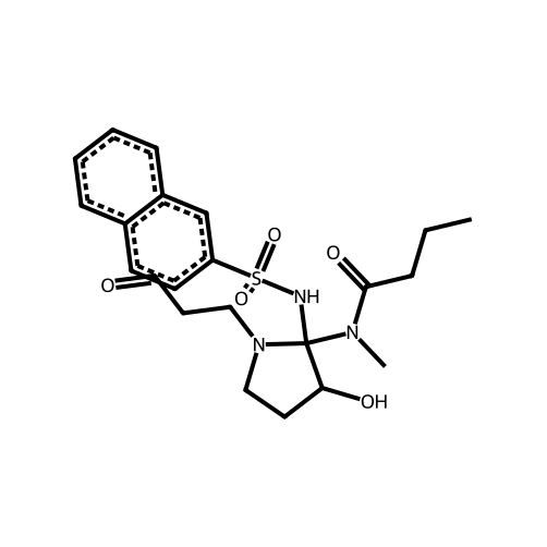 CCCC(=O)N(C)C1(NS(=O)(=O)c2ccc3ccccc3c2)C(O)CCN1CCC=O